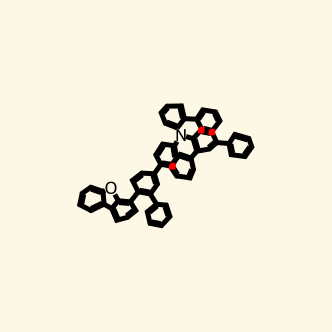 c1ccc(-c2ccc(N(c3ccc(-c4ccc(-c5cccc6c5oc5ccccc56)c(-c5ccccc5)c4)cc3)c3ccccc3-c3ccccc3)c(-c3ccccc3)c2)cc1